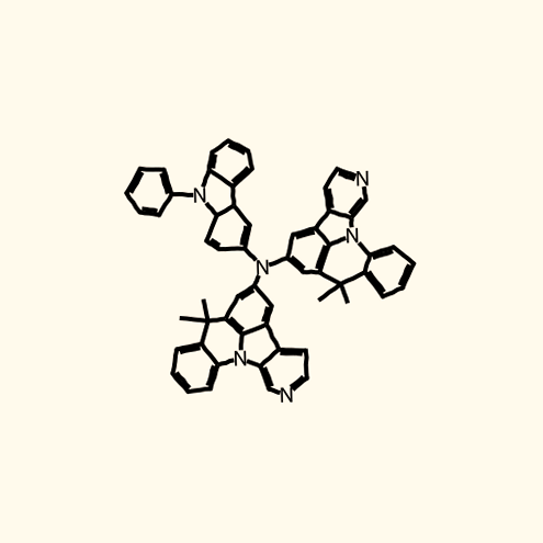 CC1(C)c2ccccc2-n2c3cnccc3c3cc(N(C4=CC5c6ccccc6N(c6ccccc6)C5C=C4)c4cc5c6c(c4)c4ccncc4n6-c4ccccc4C5(C)C)cc1c32